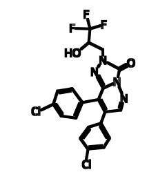 O=c1n(CC(O)C(F)(F)F)nc2c(-c3ccc(Cl)cc3)c(-c3ccc(Cl)cc3)cnn12